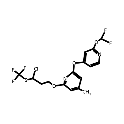 Cc1cc(OCCC(Cl)SC(F)(F)F)nc(Oc2ccnc(OC(F)F)c2)c1